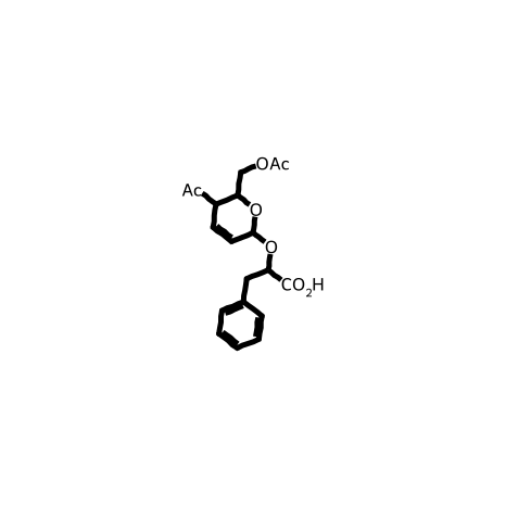 CC(=O)OCC1OC(OC(Cc2ccccc2)C(=O)O)C=CC1C(C)=O